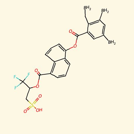 BCc1c(B)cc(B)cc1C(=O)Oc1cccc2c(C(=O)OC(CS(=O)(=O)O)C(F)(F)F)cccc12